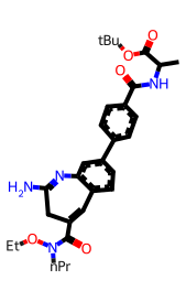 CCCN(OCC)C(=O)C1=Cc2ccc(-c3ccc(C(=O)NC(C)C(=O)OC(C)(C)C)cc3)cc2N=C(N)C1